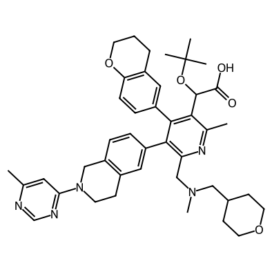 Cc1cc(N2CCc3cc(-c4c(CN(C)CC5CCOCC5)nc(C)c(C(OC(C)(C)C)C(=O)O)c4-c4ccc5c(c4)CCCO5)ccc3C2)ncn1